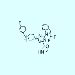 Fc1ccc(NC2CCN(c3nc(C4CNCCO4)nc(-n4c(C(F)F)cc5ccccc54)n3)CC2)cc1